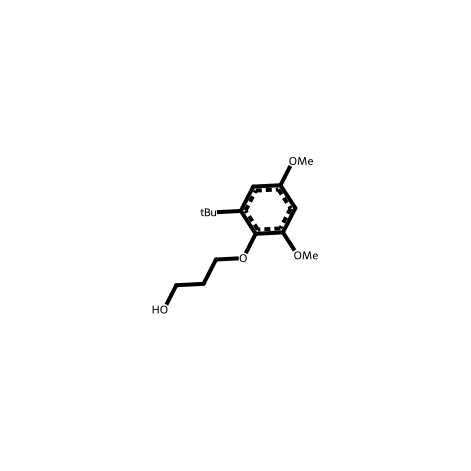 COc1cc(OC)c(OCCCO)c(C(C)(C)C)c1